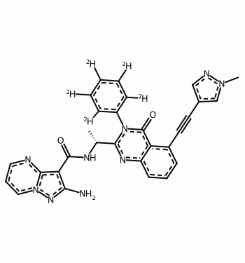 [2H]c1c([2H])c([2H])c(-n2c([C@@H](C)NC(=O)c3c(N)nn4cccnc34)nc3cccc(C#Cc4cnn(C)c4)c3c2=O)c([2H])c1[2H]